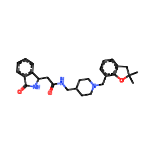 CC1(C)Cc2cccc(CN3CCC(CNC(=O)CC4NC(=O)c5ccccc54)CC3)c2O1